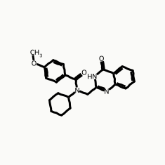 COc1ccc(C(=O)N(Cc2nc3ccccc3c(=O)[nH]2)C2CCCCC2)cc1